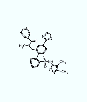 Cc1noc(NS(=O)(=O)c2ccccc2-c2ccc(-c3ncco3)cc2CN(C)C(=O)c2cnccn2)c1C